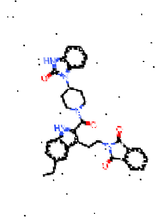 CCc1ccc2[nH]c(C(=O)N3CCC(n4c(=O)[nH]c5ccccc54)CC3)c(CCN3C(=O)c4ccccc4C3=O)c2c1